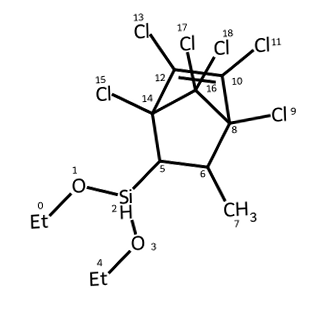 CCO[SiH](OCC)C1C(C)C2(Cl)C(Cl)=C(Cl)C1(Cl)C2(Cl)Cl